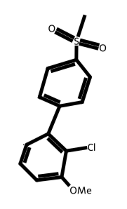 COc1cc[c]c(-c2ccc(S(C)(=O)=O)cc2)c1Cl